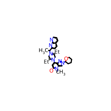 CC[C@H]1CN(C(C)c2ccc3cccnc3n2)[C@H](CC)CN1c1cc(=O)n(C)c2cn(C3CCCCO3)nc12